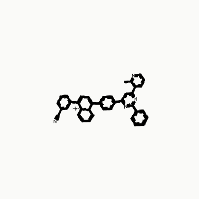 Cc1ncccc1-c1cc(-c2ccc(C3=CC=C(c4cccc(C#N)c4)[C@@H]4C=CC=CC34)cc2)nc(-c2ccccc2)n1